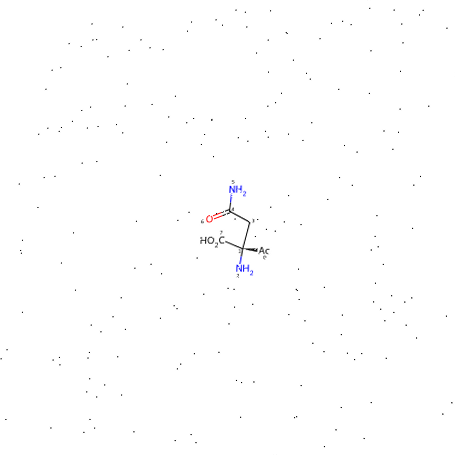 CC(=O)[C@](N)(CC(N)=O)C(=O)O